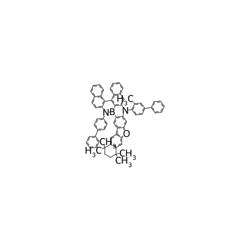 Cc1cc(-c2ccccc2)ccc1N1c2cc3oc4cc5c(cc4c3cc2B2c3c1cc1ccccc1c3-c1c(ccc3ccccc13)N2c1ccc(-c2ccccc2)cc1)C(C)(C)CCC5(C)C